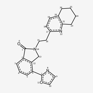 O=C1c2cccc(-c3ncco3)c2CN1CCc1ccc2c(n1)CCCC2